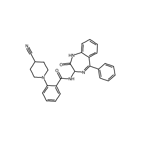 N#CC1CCN(c2ccccc2C(=O)NC2N=C(c3ccccc3)c3ccccc3NC2=O)CC1